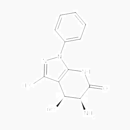 CCC[C@H]1c2c(C)nn(-c3ccccc3)c2NC(=O)[C@H]1N